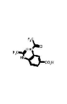 O=C(O)c1ccc(NC(=O)C(F)(F)F)c(NC(=O)C(F)(F)F)c1